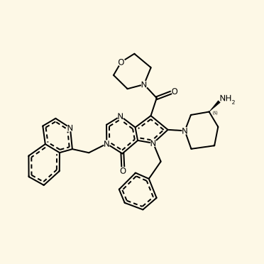 N[C@H]1CCCN(c2c(C(=O)N3CCOCC3)c3ncn(Cc4nccc5ccccc45)c(=O)c3n2Cc2ccccc2)C1